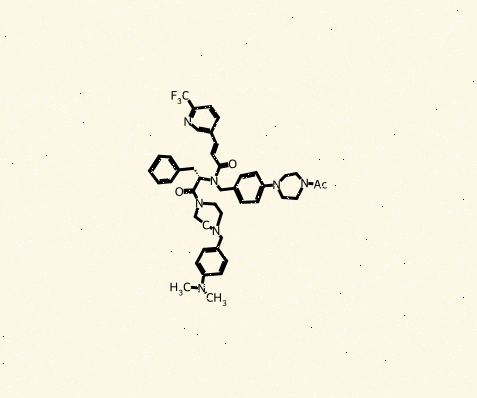 CC(=O)N1CCN(c2ccc(CN(C(=O)/C=C/c3ccc(C(F)(F)F)nc3)[C@@H](Cc3ccccc3)C(=O)N3CCN(Cc4ccc(N(C)C)cc4)CC3)cc2)CC1